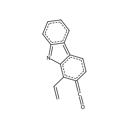 C=Cc1c2c(ccc1=C=O)=c1ccccc1=N2